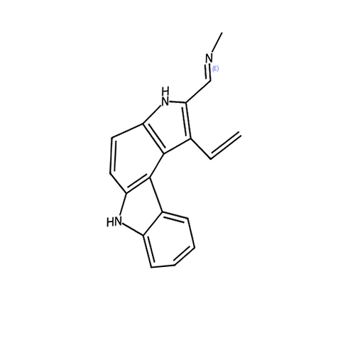 C=Cc1c(/C=N/C)[nH]c2ccc3[nH]c4ccccc4c3c12